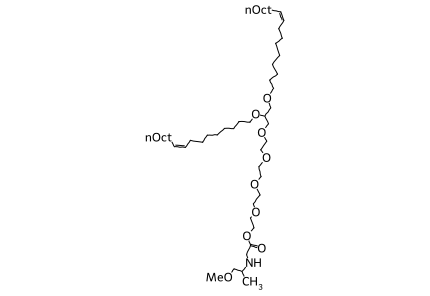 CCCCCCCC/C=C\CCCCCCCCOCC(COCCOCCOCCOCCOC(=O)CNC(C)COC)OCCCCCCCC/C=C\CCCCCCCC